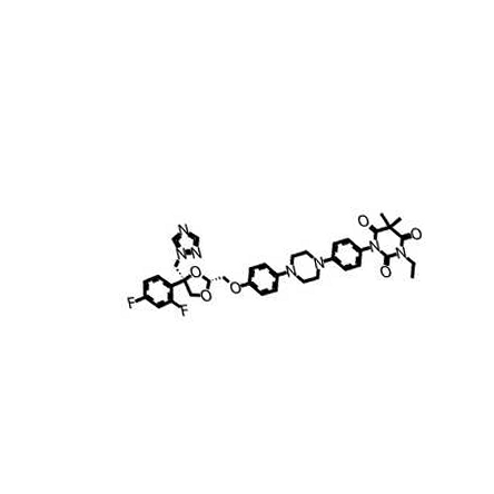 CCN1C(=O)N(c2ccc(N3CCN(c4ccc(OC[C@@H]5OC[C@@](Cn6cncn6)(c6ccc(F)cc6F)O5)cc4)CC3)cc2)C(=O)C(C)(C)C1=O